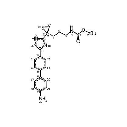 CC(C)(C)OC(=O)NCCC[C@@]1(c2nc(-c3ccc(-c4ccc(N)cc4)cc3)c[nH]2)CS1